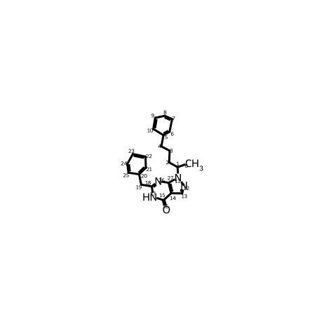 CC(CCCc1ccccc1)n1ncc2c(=O)[nH]c(Cc3ccccc3)nc21